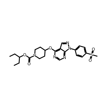 CCC(CC)OC(=O)N1CCC(Oc2ncnc3c2cnn3-c2ccc(S(C)(=O)=O)cc2)CC1